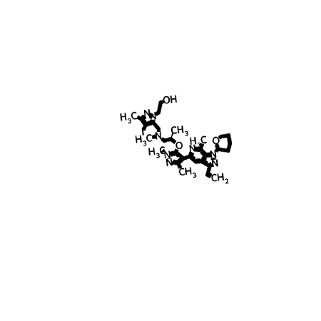 C=Cc1nn(C2CCCCO2)c2c(C)nc(-c3c(C)nn(C)c3O[C@@H](C)CN(C)Cc3c(I)c(C)nn3CCO)cc12